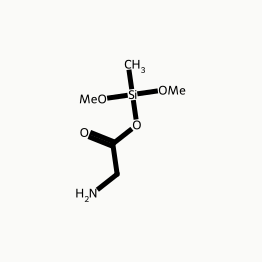 CO[Si](C)(OC)OC(=O)CN